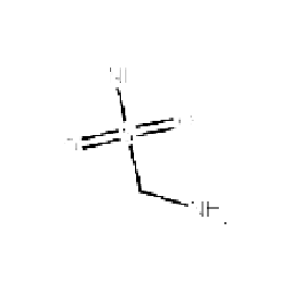 [NH]S(=O)(=O)CN